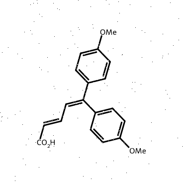 COc1ccc(C(=CC=CC(=O)O)c2ccc(OC)cc2)cc1